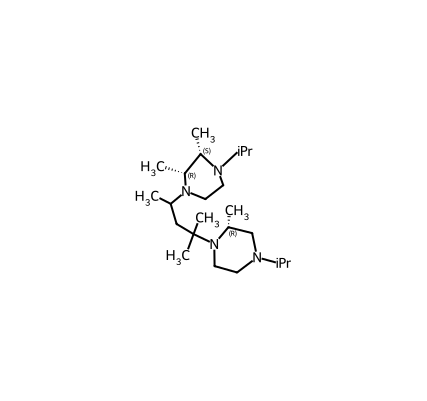 CC(C)N1CCN(C(C)(C)CC(C)N2CCN(C(C)C)[C@@H](C)[C@H]2C)[C@H](C)C1